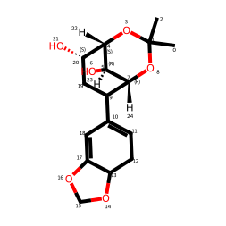 CC1(C)O[C@@H]2[C@H](O)[C@H](O1)C(C1=CCC3OCOC3=C1)C[C@@H]2O